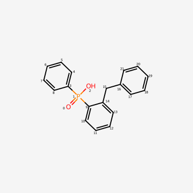 O=P(O)(c1ccccc1)c1ccccc1Cc1ccccc1